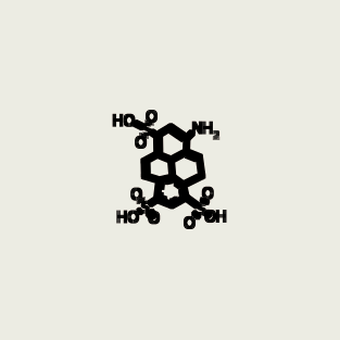 NC1=CC(S(=O)(=O)O)=C2C=Cc3c(S(=O)(=O)O)cc(S(=O)(=O)O)c4c3C2C1=CC4